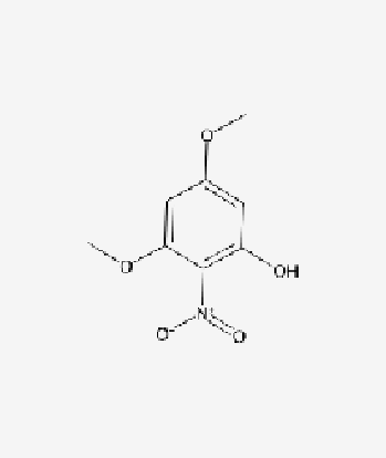 COc1cc(O)c([N+](=O)[O-])c(OC)c1